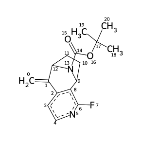 C=C1c2ccnc(F)c2C2CCC1N2C(=O)OC(C)(C)C